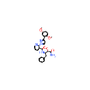 COc1ccc(OC)c(-c2ccn(-c3ncccc3C(=O)NC(Cc3ccccc3)C(=O)C(N)=O)n2)c1